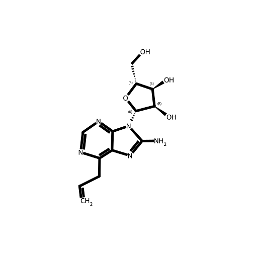 C=CCc1ncnc2c1nc(N)n2[C@@H]1O[C@H](CO)[C@@H](O)[C@H]1O